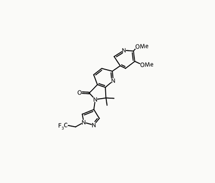 COc1cc(-c2ccc3c(n2)C(C)(C)N(c2cnn(CC(F)(F)F)c2)C3=O)cnc1OC